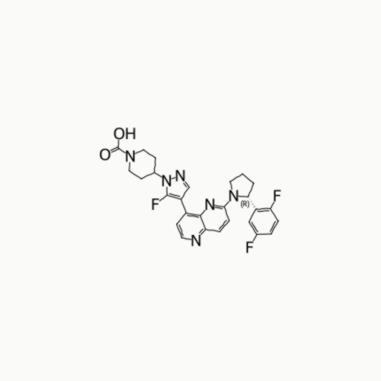 O=C(O)N1CCC(n2ncc(-c3ccnc4ccc(N5CCC[C@@H]5c5cc(F)ccc5F)nc34)c2F)CC1